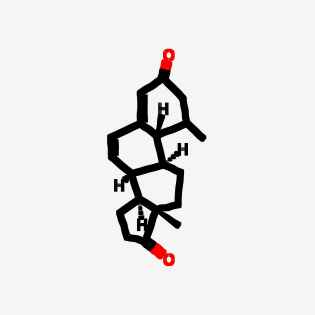 CC1CC(=O)C=C2C=C[C@@H]3[C@H](CC[C@]4(C)C(=O)CC[C@@H]34)[C@H]21